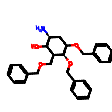 N[C@@H]1CC(OCc2ccccc2)[C@H](OCc2ccccc2)C(COCc2ccccc2)C1O